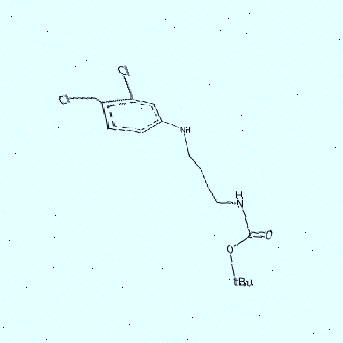 CC(C)(C)OC(=O)NCCCNc1ccc(Cl)c(Cl)c1